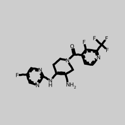 NC1=C(Nc2ncc(F)cn2)CCN(C(=O)c2ccnc(C(F)(F)F)c2F)C1